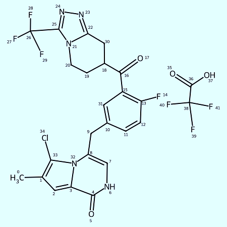 Cc1cc2c(=O)[nH]cc(Cc3ccc(F)c(C(=O)C4CCn5c(nnc5C(F)(F)F)C4)c3)n2c1Cl.O=C(O)C(F)(F)F